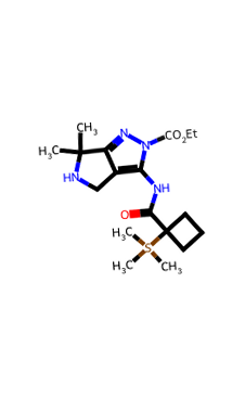 CCOC(=O)n1nc2c(c1NC(=O)C1(S(C)(C)C)CCC1)CNC2(C)C